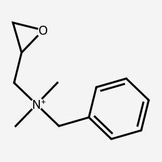 C[N+](C)(Cc1ccccc1)CC1CO1